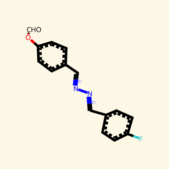 O=COc1ccc(/C=N/N=C/c2ccc(F)cc2)cc1